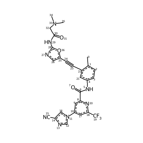 Cc1ccc(NC(=O)c2cc(-n3cnc(C#N)c3)cc(C(F)(F)F)n2)cc1C#Cc1cnc(NC(=O)CN(C)C)o1